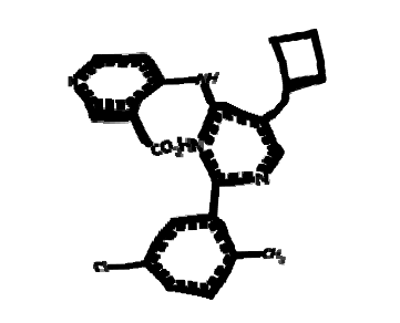 Cc1ccc(Cl)cc1-c1ncc(C2CCC2)c(Nc2ccncc2C(=O)O)n1